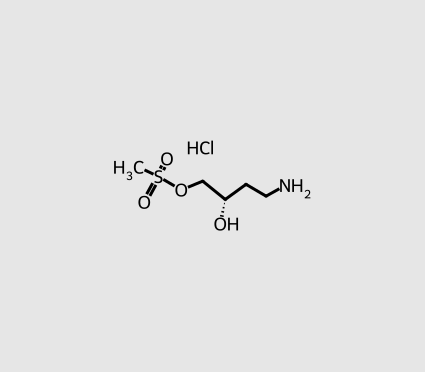 CS(=O)(=O)OC[C@@H](O)CCN.Cl